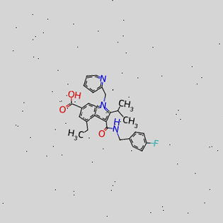 CCc1cc(C(=O)O)cc2c1c(C(=O)NCc1ccc(F)cc1)c(C(C)C)n2Cc1ccccn1